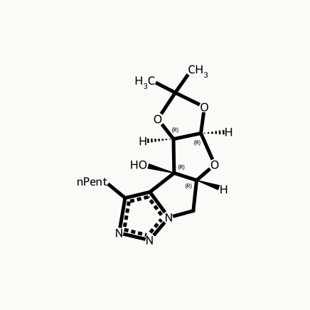 CCCCCc1nnn2c1[C@@]1(O)[C@@H](C2)O[C@@H]2OC(C)(C)O[C@@H]21